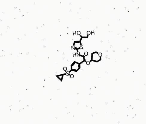 O=C(Nc1ncc(C(O)CO)s1)C(OC1CCOCC1)c1ccc(S(=O)(=O)C2CC2)cc1